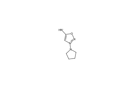 [NH-]c1c[n+](N2CCCC2)no1